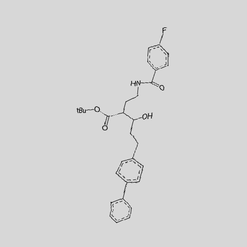 CC(C)(C)OC(=O)C(CCNC(=O)c1ccc(F)cc1)C(O)CCc1ccc(-c2ccccc2)cc1